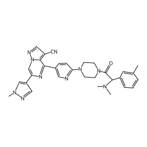 Cc1cccc(C(C(=O)N2CCN(c3ccc(-c4nc(-c5cnn(C)c5)cn5ncc(C#N)c45)cn3)CC2)N(C)C)c1